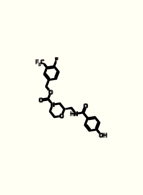 O=C(NC[C@@H]1CN(C(=O)OCc2ccc(F)c(C(F)(F)F)c2)CCO1)c1ccc(O)cc1